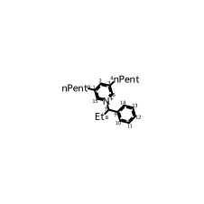 CCCCCc1cc(CCCCC)c[n+](C(CC)c2ccccc2)c1